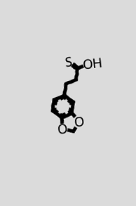 OC(=S)CCc1ccc2c(c1)OCO2